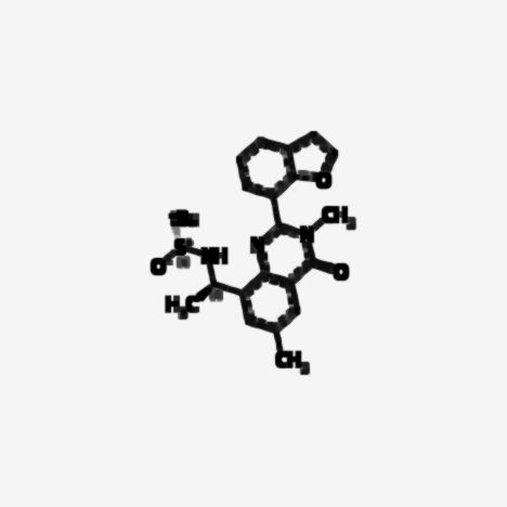 Cc1cc([C@@H](C)N[S@+]([O-])C(C)(C)C)c2nc(-c3cccc4ccoc34)n(C)c(=O)c2c1